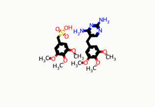 COc1cc(CS(=O)(=O)O)cc(OC)c1OC.COc1cc(Cc2cnc(N)nc2N)cc(OC)c1OC